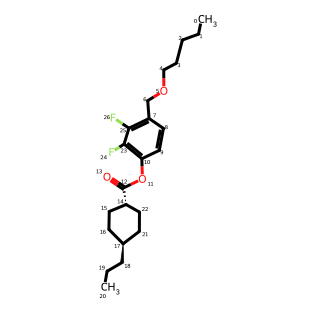 CCCCCOCc1ccc(OC(=O)[C@H]2CC[C@H](CCC)CC2)c(F)c1F